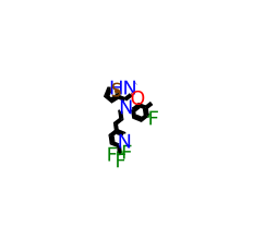 CNC(=O)C(c1cccs1)N(CCCc1ccc(C(F)(F)F)nc1)c1ccc(F)c(C)c1